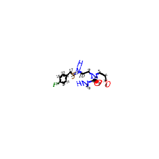 CNC(=O)N(/C=C\C=O)CCNSCc1ccc(F)cc1